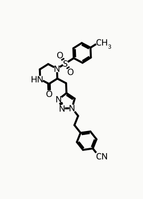 Cc1ccc(S(=O)(=O)N2CCNC(=O)C2Cc2cn(CCc3ccc(C#N)cc3)nn2)cc1